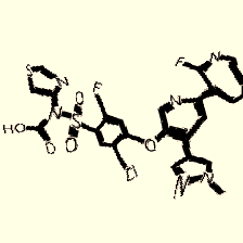 Cn1cc(-c2cc(-c3cccnc3F)ncc2Oc2cc(F)c(S(=O)(=O)N(C(=O)O)c3cscn3)cc2Cl)cn1